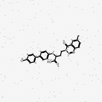 Cc1ccc2nnn(CCC(Sc3ccc(-c4ccc(Cl)cc4)cc3)C(=O)O)c(=O)c2c1